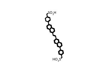 O=S(=O)(O)CC1=CC=C(c2ccc3cc(/C=C/c4ccc5cc(-c6ccc(CS(=O)(=O)O)cc6)ccc5c4)ccc3c2)CC1